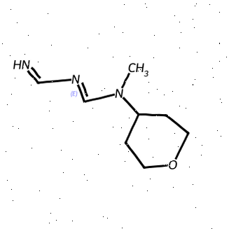 CN(/C=N/C=N)C1CCOCC1